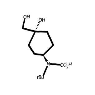 CC(C)(C)N(C(=O)O)[C@H]1CC[C@@](O)(CO)CC1